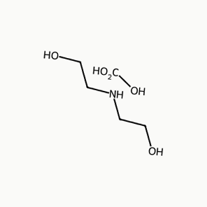 O=C(O)O.OCCNCCO